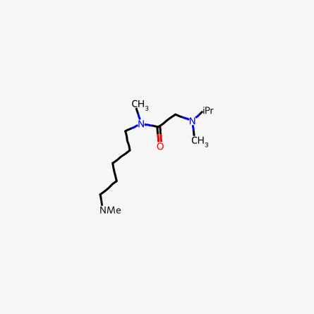 CNCCCCCN(C)C(=O)CN(C)C(C)C